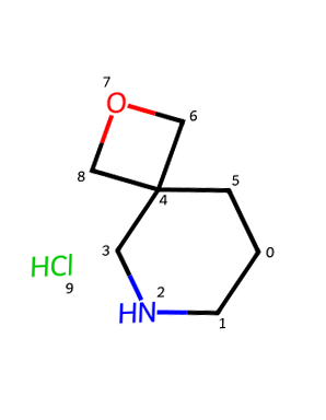 C1CNCC2(C1)COC2.Cl